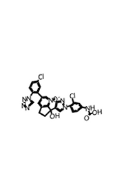 O=C(O)Nc1ccc(-n2cc(C3(O)CCc4cc(-c5cc(Cl)ccc5-n5cnnn5)c[n+]([O-])c43)cn2)c(Cl)c1